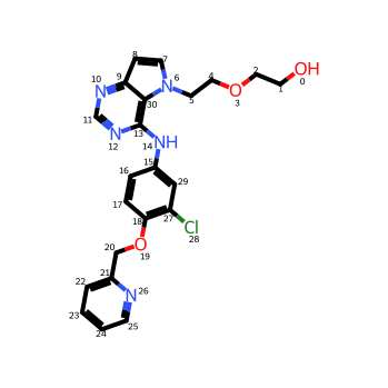 OCCOCCn1ccc2ncnc(Nc3ccc(OCc4ccccn4)c(Cl)c3)c21